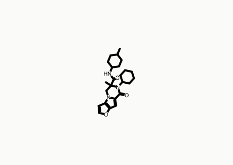 CC1CCC(NC(=O)C2(C)Cn3c(cc4occc43)C(=O)N2C2CCCCC2)CC1